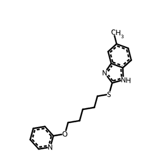 Cc1ccc2[nH]c(SCCCCCOc3ccccn3)nc2c1